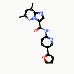 Cc1cc(C)c2ncc(C(=O)Nc3ccc(-c4ccco4)cn3)n2n1